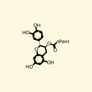 CCCCCC(=O)O[C@H]1Cc2c(O)cc(O)cc2O[C@@H]1c1ccc(O)c(O)c1